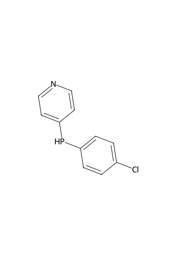 Clc1ccc(Pc2ccncc2)cc1